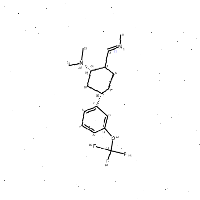 C/N=C/C1CC[C@H](c2cccc(OC(F)(F)F)c2)C[C@@H]1N(C)C